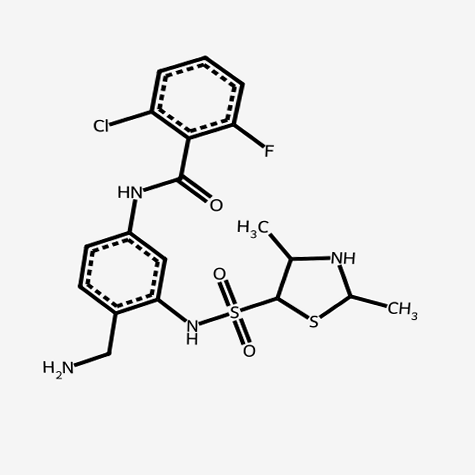 CC1NC(C)C(S(=O)(=O)Nc2cc(NC(=O)c3c(F)cccc3Cl)ccc2CN)S1